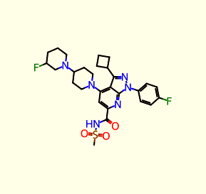 CS(=O)(=O)NC(=O)c1cc(N2CCC(N3CCCC(F)C3)CC2)c2c(C3CCC3)nn(-c3ccc(F)cc3)c2n1